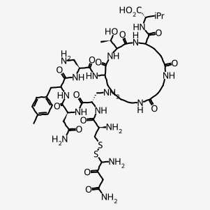 Cc1ccc(CC(NC(=O)[C@H](CC(N)=O)NC(=O)[C@H](CN)NC(=O)[C@@H](N)CSSC(N)C(=O)CC(N)=O)C(=O)N[C@@H](CN)C(=O)NC2CCCCNC(=O)CCNC(=O)CCC(C(=O)N[C@H](C(=O)O)C(C)C)NC(=O)C([C@@H](C)O)NC2=O)cc1